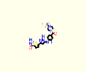 CN1CCN(C(=O)c2ccc(Nc3cc(-c4ccc(C(N)=O)s4)n[nH]3)cc2)CC1